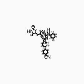 C=C1NC(=O)C/C1=C\c1cnn2c(Nc3ccccc3)nc(N3CCC(c4ccc(C#N)cc4)CC3)nc12